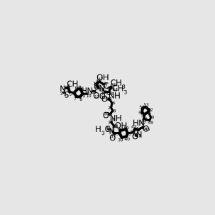 Cc1ncsc1-c1ccc(CNC(=O)[C@@H]2C[C@@H](O)CN2C(=O)[C@@H](NC(=O)CCCC(=O)NCCN(C)C(=O)c2ccc(-c3cc(C(=O)N[C@@H]4CCc5ccccc54)no3)cc2O)C(C)(C)C)cc1